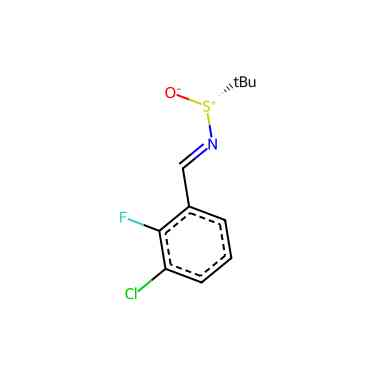 CC(C)(C)[S@@+]([O-])N=Cc1cccc(Cl)c1F